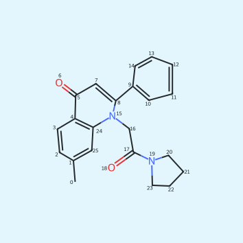 Cc1ccc2c(=O)cc(-c3ccccc3)n(CC(=O)N3CCCC3)c2c1